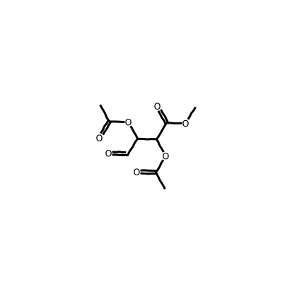 COC(=O)C(OC(C)=O)C(C=O)OC(C)=O